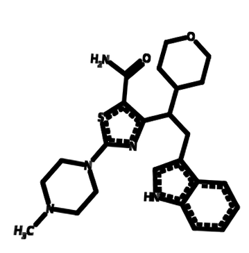 CN1CCN(c2nc(C(Cc3c[nH]c4ccccc34)C3CCOCC3)c(C(N)=O)s2)CC1